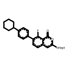 CCCCCCCc1cc2ccc(-c3ccc(C4CCCCC4)cc3)c(F)c2c(=O)o1